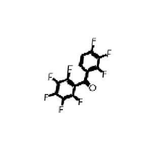 O=C(c1ccc(F)c(F)c1F)c1c(F)c(F)c(F)c(F)c1F